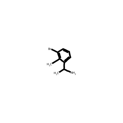 Cc1c(Br)cccc1C(C)N